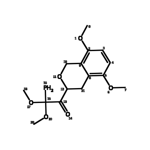 COc1ccc(OC)c2c1COC(C(=O)C(P)(OC)OC)C2